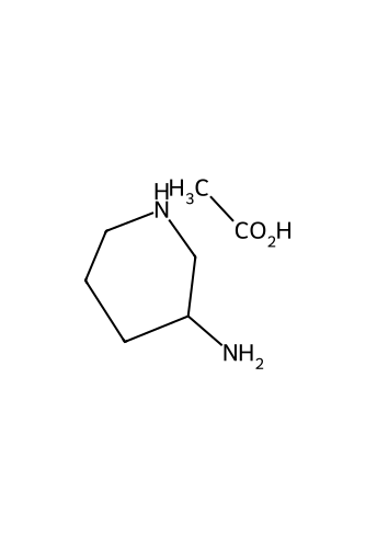 CC(=O)O.NC1CCCNC1